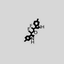 Cc1ccc2c(C(CF)C(=O)C(CF)c3c[nH]c4cc(C)ccc34)c[nH]c2c1